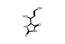 O=C1NC(=O)C(C(O)C=CO)N1